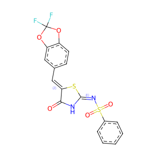 O=C1N/C(=N\S(=O)(=O)c2ccccc2)S/C1=C\c1ccc2c(c1)OC(F)(F)O2